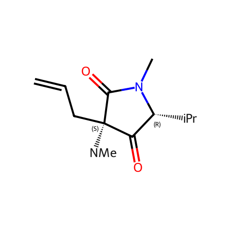 C=CC[C@]1(NC)C(=O)[C@@H](C(C)C)N(C)C1=O